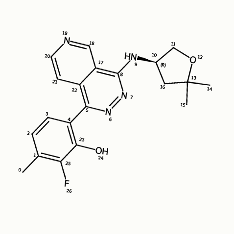 Cc1ccc(-c2nnc(N[C@H]3COC(C)(C)C3)c3cnccc23)c(O)c1F